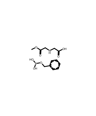 COC(=O)CNCC(=O)O.OB(O)OCc1ccccc1